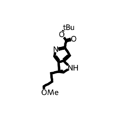 COCCCc1c[nH]c2cc(C(=O)OC(C)(C)C)ncc12